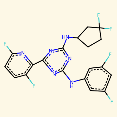 Fc1cc(F)cc(Nc2nc(NC3CCC(F)(F)C3)nc(-c3nc(F)ccc3F)n2)c1